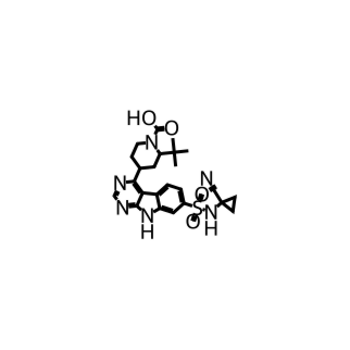 CC(C)(C)C1CC(c2ncnc3[nH]c4cc(S(=O)(=O)NC5(C#N)CC5)ccc4c23)CCN1C(=O)O